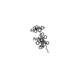 CCCCCC(C(=O)NCNC(=O)c1ccc(-c2cc(OCC)cc(P(=O)(O)O)c2)o1)[C@@H](CC)N(C=O)OC(=O)c1ccccc1O